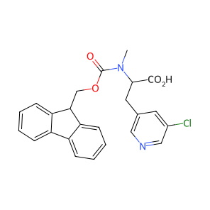 CN(C(=O)OCC1c2ccccc2-c2ccccc21)C(Cc1cncc(Cl)c1)C(=O)O